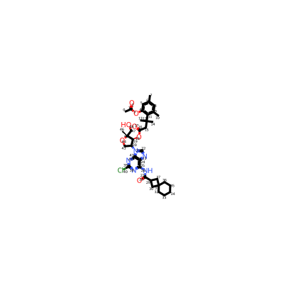 CC(=O)Oc1cc(C)cc(C)c1C(C)(C)CC(=O)O[C@H]1C(n2cnc3c(NC(=O)C4CC5(CCCCC5)C4)nc(Cl)nc32)CO[C@]1(C)CO